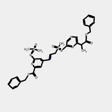 CC(C(=O)OCc1ccccc1)c1cncc(N=S(C)(=O)C/C=C/c2cc(N=S(C)(C)=O)nc(C(=O)OCc3ccccc3)c2)n1